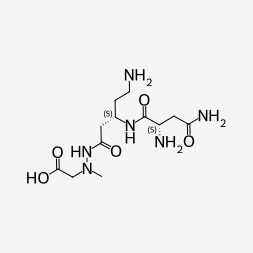 CN(CC(=O)O)NC(=O)C[C@H](CCN)NC(=O)[C@@H](N)CC(N)=O